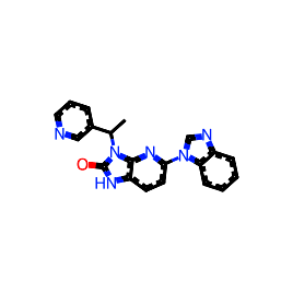 CC(c1cccnc1)n1c(=O)[nH]c2ccc(-n3cnc4ccccc43)nc21